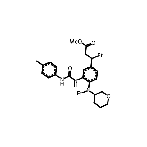 CCC(CC(=O)OC)c1ccc(N(CC)C2CCCOC2)c(NC(=O)Nc2ccc(C)cc2)c1